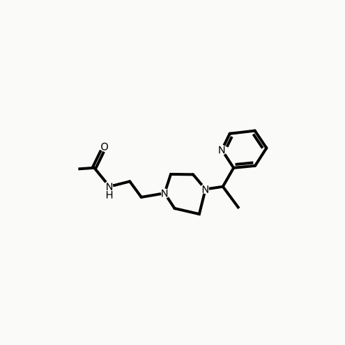 CC(=O)NCCN1CCN(C(C)c2ccccn2)CC1